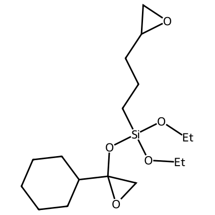 CCO[Si](CCCC1CO1)(OCC)OC1(C2CCCCC2)CO1